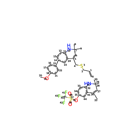 C=CCSCC1=CC(C)(C)Nc2ccc(-c3ccc(OC)cc3)cc21.CC1=CC(C)(C)Nc2ccc(OS(=O)(=O)C(F)(F)F)cc21